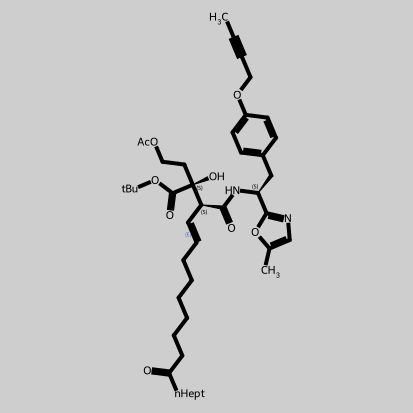 CC#CCOc1ccc(C[C@H](NC(=O)[C@@H](/C=C/CCCCCCC(=O)CCCCCCC)[C@@](O)(CCOC(C)=O)C(=O)OC(C)(C)C)c2ncc(C)o2)cc1